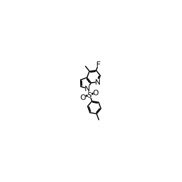 Cc1ccc(S(=O)(=O)n2ccc3c(C)c(F)cnc32)cc1